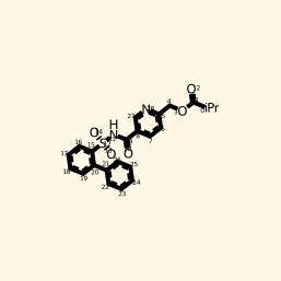 CC(C)C(=O)OCc1ccc(C(=O)NS(=O)(=O)c2ccccc2-c2ccccc2)cn1